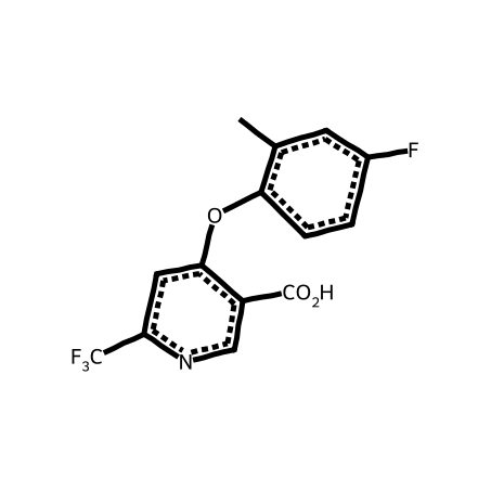 Cc1cc(F)ccc1Oc1cc(C(F)(F)F)ncc1C(=O)O